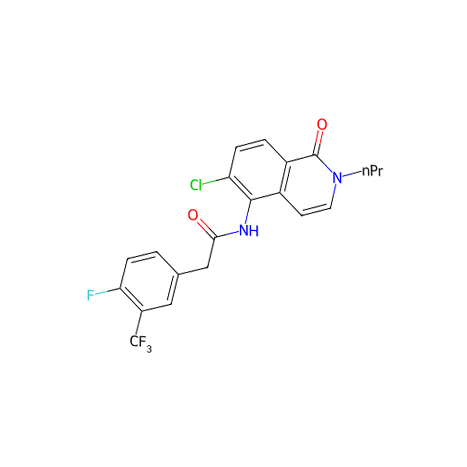 CCCn1ccc2c(NC(=O)Cc3ccc(F)c(C(F)(F)F)c3)c(Cl)ccc2c1=O